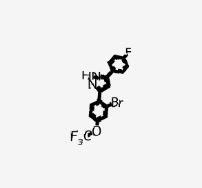 Fc1ccc(-c2cc(-c3ccc(OC(F)(F)F)cc3Br)n[nH]2)cc1